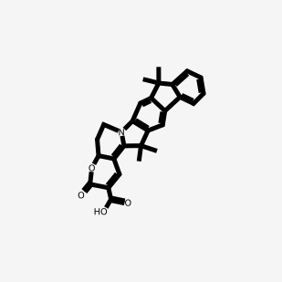 CC1(C)C2=C3C=C(C(=O)O)C(=O)OC3CCN2c2cc3c(cc21)-c1ccccc1C3(C)C